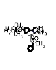 CN/C(NC(=O)O[C@H](C)c1ccccc1)=C(\C=N)c1ccc(B2OC(C)(C)C(C)(C)O2)cc1